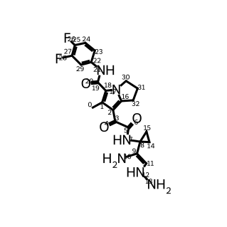 Cc1c(C(=O)C(=O)NC2(/C(N)=C/NN)CC2)c2n(c1C(=O)Nc1ccc(F)c(F)c1)CCC2